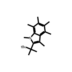 Cc1c(C)c(C)c2c(c1C)c(C)c(C(C)(C)C(C)(C)C)n2C